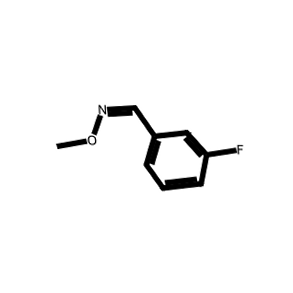 CO/N=C\c1[c]c(F)ccc1